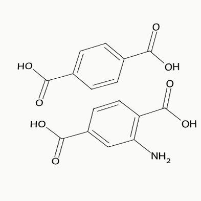 Nc1cc(C(=O)O)ccc1C(=O)O.O=C(O)c1ccc(C(=O)O)cc1